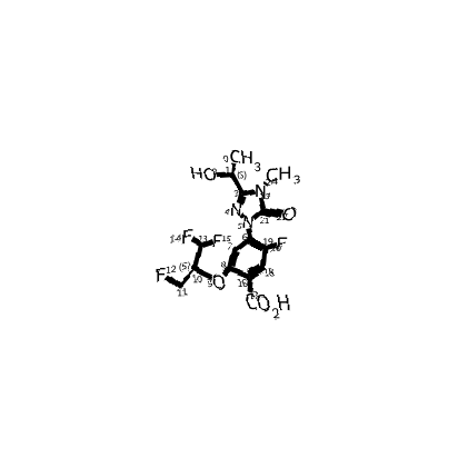 C[C@H](O)c1nn(-c2cc(O[C@@H](CF)C(F)F)c(C(=O)O)cc2F)c(=O)n1C